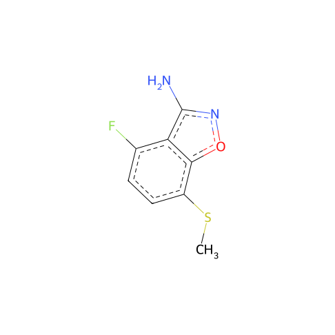 CSc1ccc(F)c2c(N)noc12